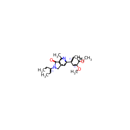 C=C/C(=C\C)N1Cc2cc(C(/C=C(/OC)C(=C)OC)=C/C)nc(C)c2C1=O